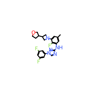 Cc1cc(Nc2ncn(-c3cc(F)cc(F)c3)n2)c(F)c(N2CC(C3CCOC3)C2)c1